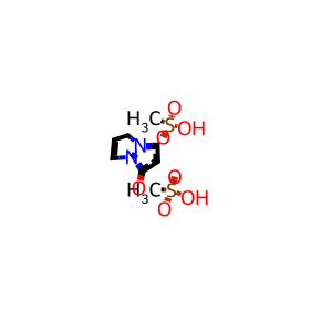 CS(=O)(=O)O.CS(=O)(=O)O.O=c1ccn2n1C=CC2